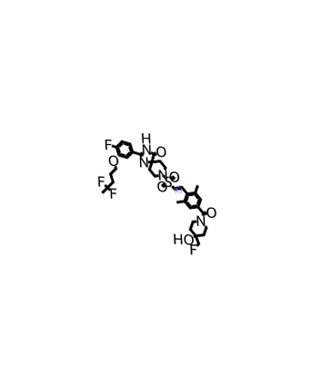 Cc1cc(C(=O)N2CCC(O)(CF)CC2)cc(C)c1/C=C/S(=O)(=O)N1CCC2(CC1)N=C(c1ccc(F)c(OCCCC(C)(F)F)c1)NC2=O